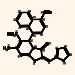 CCOC(=O)C1=C(C)N=c2s/c(=C/c3cccs3)c(=O)n2C1c1ccc(OC)c2ccccc12